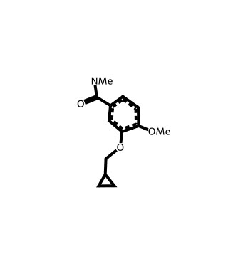 CNC(=O)c1ccc(OC)c(OCC2CC2)c1